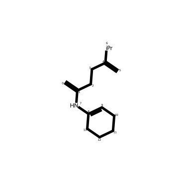 C=C(CCC(=C)C(C)C)NC1=CCCCC1